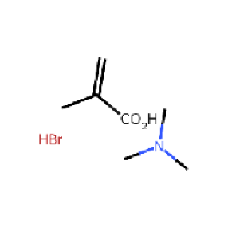 Br.C=C(C)C(=O)O.CN(C)C